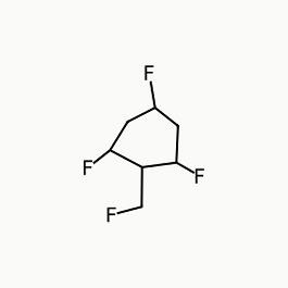 FCC1C(F)CC(F)CC1F